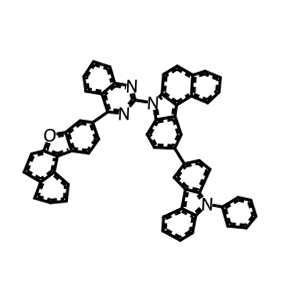 c1ccc(-n2c3ccccc3c3cc(-c4ccc5c(c4)c4c6ccccc6ccc4n5-c4nc(-c5ccc6c(c5)oc5ccc7ccccc7c56)c5ccccc5n4)ccc32)cc1